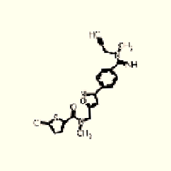 C#CCN(C)C(=N)c1ccc(-c2cc(CN(C)C(=O)C3=CCC(Cl)S3)on2)cc1